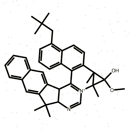 COC1(O)C2(C)c3ccc4c(CC(C)(C)C)cccc4c3C3=[N+](C=NC4C3c3cc5ccccc5cc3C4(C)C)C12C